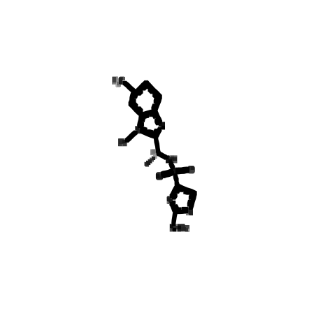 CCn1c([C@@H](C)NS(=O)(=O)c2cnc(NC(C)=O)s2)nc2ccc(C(F)(F)F)cc21